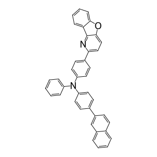 c1ccc(N(c2ccc(-c3ccc4ccccc4c3)cc2)c2ccc(-c3ccc4oc5ccccc5c4n3)cc2)cc1